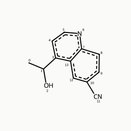 CC(O)c1ccnc2ccc(C#N)cc12